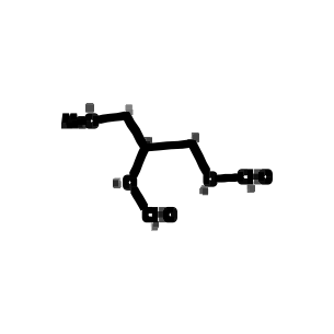 COCC(COC=O)OC=O